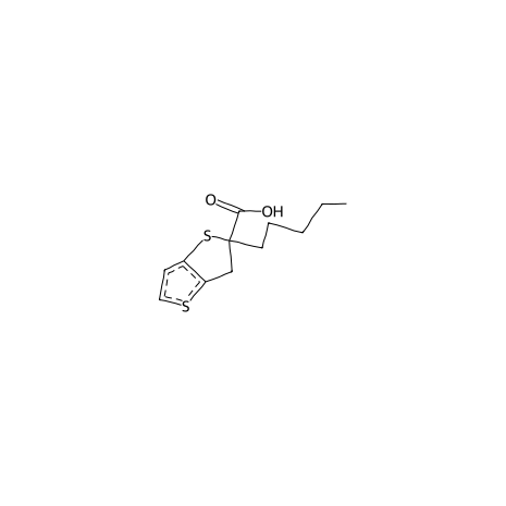 CCCCCC1(C(=O)O)Cc2sccc2S1